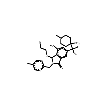 BC1(C(O)(CC)c2cc(P)c3c(c2)C(=O)N(Cc2ncc(C)cn2)C3OCCO)CCN(C)CC1